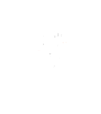 CCCCC1=CC(O)C(C)C(C)C1P